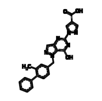 Cc1cc(Cn2ncc3nc(-n4cc(C(=O)O)cn4)nc(O)c32)ccc1-c1ccccc1